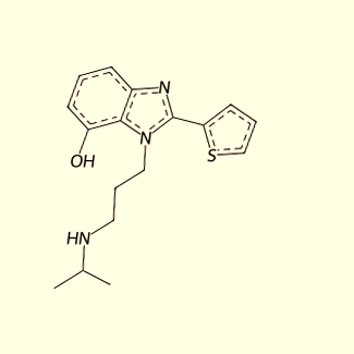 CC(C)NCCCn1c(-c2cccs2)nc2cccc(O)c21